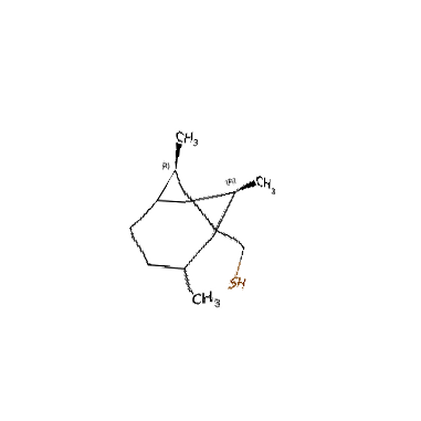 CC1CCC2[C@@H](C)C23[C@@H](C)C13CS